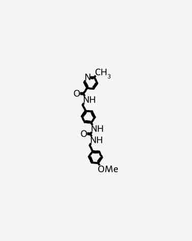 COc1ccc(CNC(=O)Nc2ccc(CNC(=O)c3ccc(C)nc3)cc2)cc1